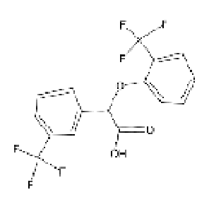 O=C(O)C(Oc1ccccc1C(F)(F)F)c1cccc(C(F)(F)F)c1